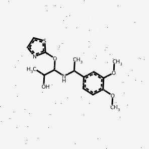 COc1ccc(C(C)NC(Oc2nccs2)C(C)O)cc1OC